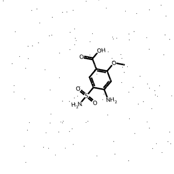 COc1cc(N)c(S(N)(=O)=O)cc1C(=O)O